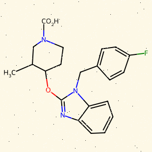 CC1CN(C(=O)O)CCC1Oc1nc2ccccc2n1Cc1ccc(F)cc1